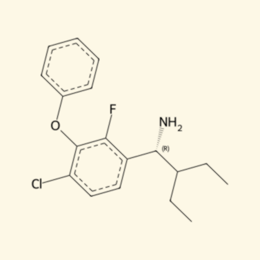 CCC(CC)[C@@H](N)c1ccc(Cl)c(Oc2ccccc2)c1F